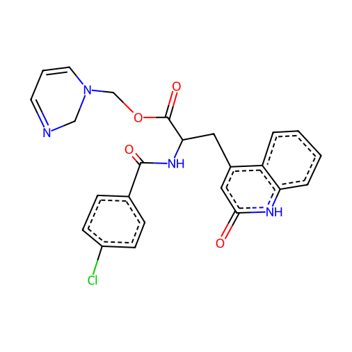 O=C(NC(Cc1cc(=O)[nH]c2ccccc12)C(=O)OCN1C=CC=NC1)c1ccc(Cl)cc1